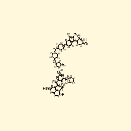 C#Cc1c(F)ccc2cc(O)cc(-c3ncc4c(N5CC6CCC(C5)N6)nc(OC[C@@H]5C[C@@H](OC6CCN(CC7CCN(c8ccc9c(c8)n(C)c(=O)n9C8CCC(=O)NC8=O)CC7)CC6)CN5C)nc4c3F)c12